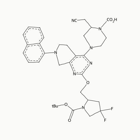 CC(C)(C)OC(=O)N1CC(F)(F)CC1COc1nc2c(c(N3CCN(C(=O)O)C(CC#N)C3)n1)CCN(c1cccc3ccccc13)C2